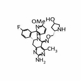 COc1cccc(-c2cc(F)ccc2[C@H]2Cc3nc(N)nc(C)c3/C(=N/OC[C@@H]3C[C@@H](O)CN3)N2)n1